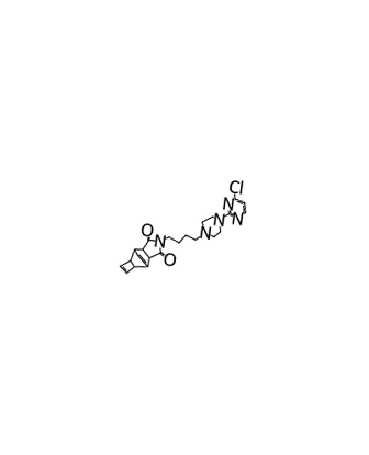 O=C1C2C3C=CC(C4C=CC43)C2C(=O)N1CCCCN1CCN(c2nccc(Cl)n2)CC1